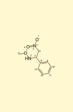 CONC(C[N+](=O)[O-])c1ccccc1